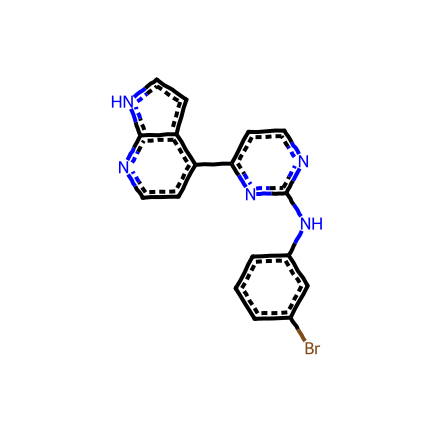 Brc1cccc(Nc2nccc(-c3ccnc4[nH]ccc34)n2)c1